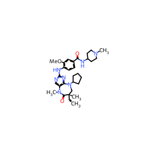 C=C[C@@]1(C)CN(C2CCCC2)c2nc(Nc3ccc(C(=O)NC4CCN(C)CC4)cc3OC)ncc2N(C)C1=O